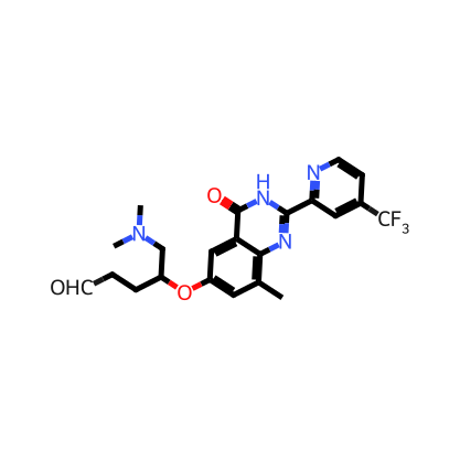 Cc1cc(OC(CCC=O)CN(C)C)cc2c(=O)[nH]c(-c3cc(C(F)(F)F)ccn3)nc12